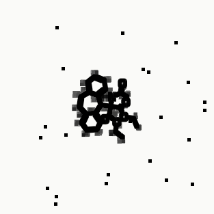 CCOC(=O)C(NC(C)=O)(C(=O)OCC)C1c2ccccc2C=Cc2ccccc21